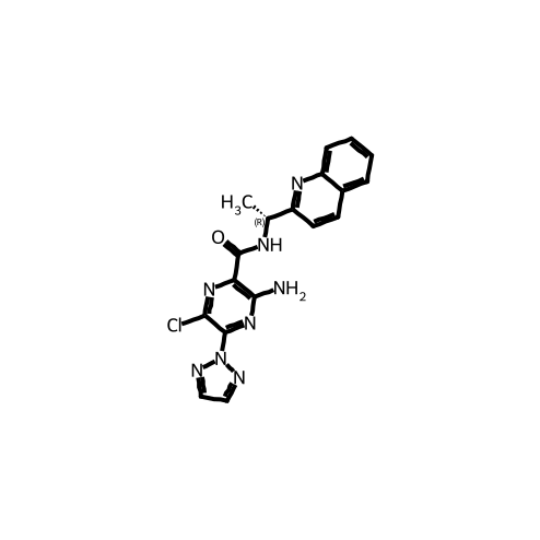 C[C@@H](NC(=O)c1nc(Cl)c(-n2nccn2)nc1N)c1ccc2ccccc2n1